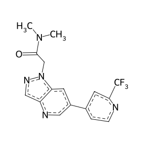 CN(C)C(=O)Cn1ncc2ncc(-c3ccnc(C(F)(F)F)c3)cc21